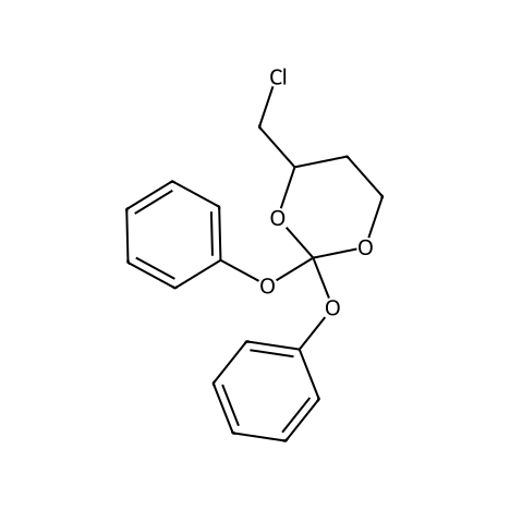 ClCC1CCOC(Oc2ccccc2)(Oc2ccccc2)O1